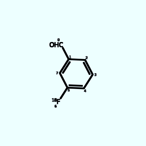 O=Cc1cccc([18F])c1